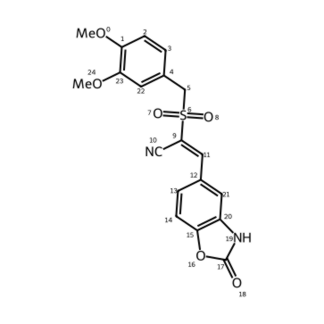 COc1ccc(CS(=O)(=O)/C(C#N)=C/c2ccc3oc(=O)[nH]c3c2)cc1OC